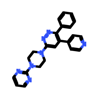 c1ccc(-c2nnc(N3CCN(c4ncccn4)CC3)cc2-c2ccncc2)cc1